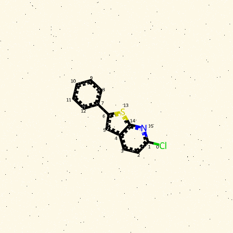 Clc1ccc2cc(-c3ccccc3)sc2n1